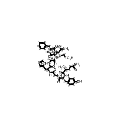 C[C@H](NC(=O)[C@H](C)NC(=O)[C@H](Cc1cnc[nH]1)NC(=O)CNC(=O)[C@H](Cc1ccc(O)cc1)NC(=O)[C@@H](C)CCC(N)=O)C(=O)N[C@@H](Cc1ccccc1)C(=O)N[C@@H](CCC(=O)O)C(N)=O